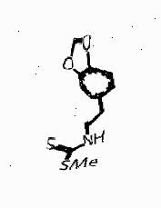 CSC(=S)NCCc1ccc2c(c1)OCO2